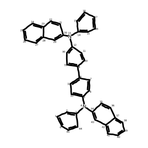 c1ccc(N(c2ccc(-c3ccc(N(c4ccccc4)c4ccc5ccccc5c4)cc3)cc2)c2ccc3ccccc3c2)cc1